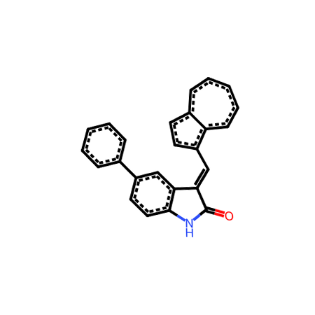 O=C1Nc2ccc(-c3ccccc3)cc2/C1=C\c1ccc2cccccc1-2